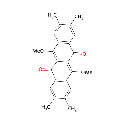 COC1=C2C(=O)c3cc(C)c(C)cc3C(OC)=C2C(=O)c2cc(C)c(C)cc21